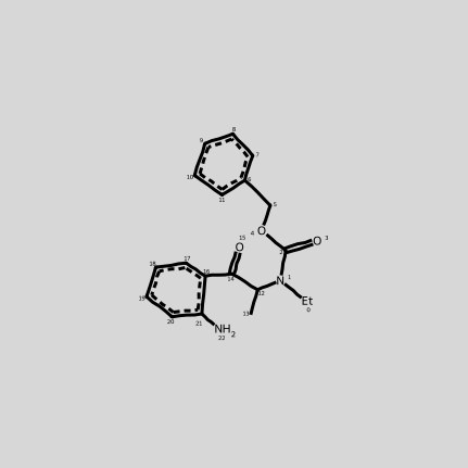 CCN(C(=O)OCc1ccccc1)C(C)C(=O)c1ccccc1N